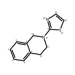 c1ccc2c(c1)CCN(c1nccs1)C2